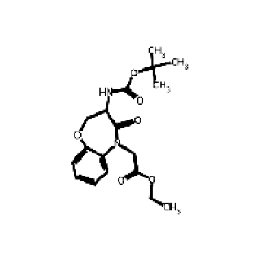 CCOC(=O)CN1C(=O)C(NC(=O)OC(C)(C)C)COc2ccccc21